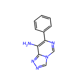 Nc1c(-c2ccccc2)ncn2cnnc12